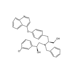 OC[C@H](Cc1ccc(Oc2ccnc3ccccc23)cc1)N(Cc1ccccc1)C[C@@H](O)c1cccc(Cl)c1